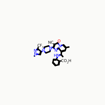 Cc1cc(C(C)Nc2ccccc2C(=O)O)c2nc(N3CCN(c4cn(C)nc4C(F)(F)F)CC3)c(C#N)c(=O)n2c1